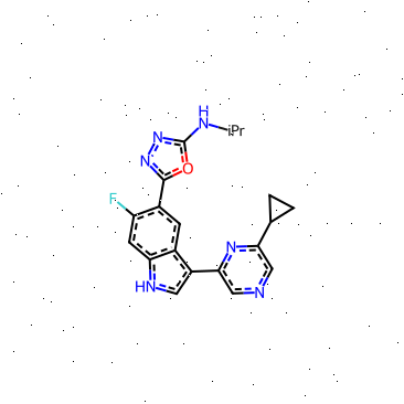 CC(C)Nc1nnc(-c2cc3c(-c4cncc(C5CC5)n4)c[nH]c3cc2F)o1